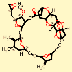 C=C1CC2CC[C@@]34C[C@H]5OC6C(O3)[C@H]3OC(CCC3O[C@H]6C5O4)CC(=O)CC3C(C[C@H]4O[C@@H](CCC1O2)C[C@@H](C)C4=C)O[C@H](C[C@H]1CO1)[C@@H]3OC